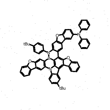 CC(C)(C)c1ccc(N2B3c4cc5oc6ccccc6c5cc4-n4c5ccc(C(C)(C)C)cc5c5c6c(oc7ccccc76)c(c3c54)-c3cc4c(cc32)oc2ccc(N(c3ccccc3)c3ccccc3)cc24)cc1